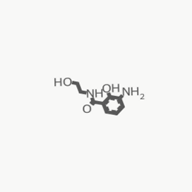 Nc1cccc(C(=O)NCCO)c1O